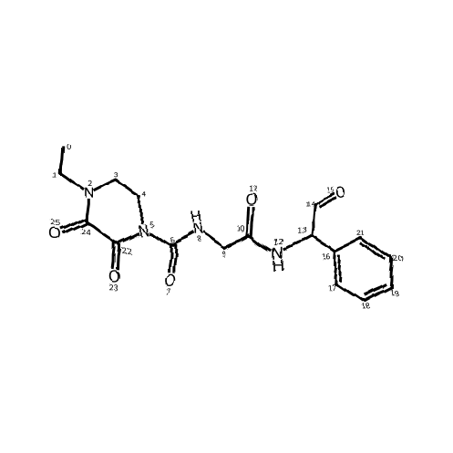 CCN1CCN(C(=O)NCC(=O)NC([C]=O)c2ccccc2)C(=O)C1=O